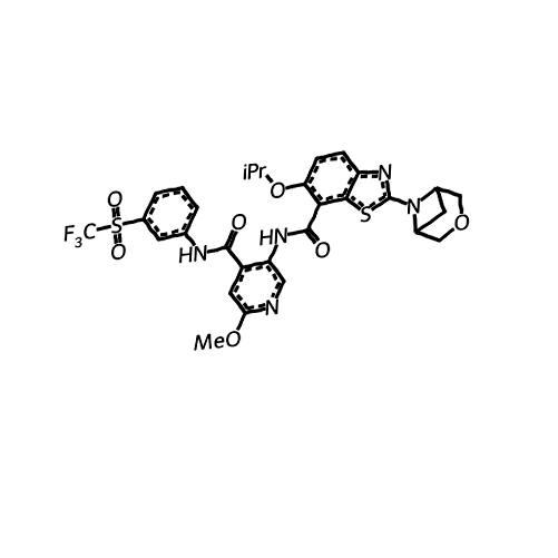 COc1cc(C(=O)Nc2cccc(S(=O)(=O)C(F)(F)F)c2)c(NC(=O)c2c(OC(C)C)ccc3nc(N4C5COCC4C5)sc23)cn1